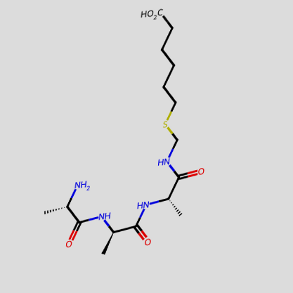 C[C@H](N)C(=O)N[C@H](C)C(=O)N[C@@H](C)C(=O)NCSCCCCCC(=O)O